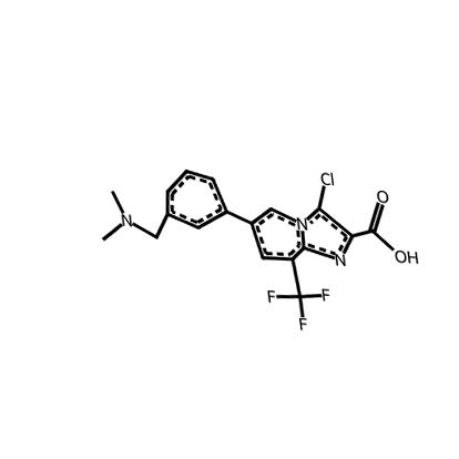 CN(C)Cc1cccc(-c2cc(C(F)(F)F)c3nc(C(=O)O)c(Cl)n3c2)c1